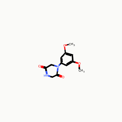 COc1cc(OC)cc(N2CC(=O)NCC2=O)c1